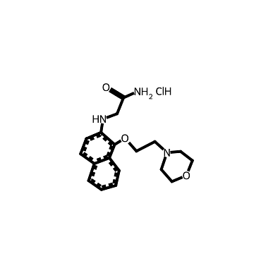 Cl.NC(=O)CNc1ccc2ccccc2c1OCCN1CCOCC1